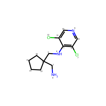 NCC1(CNc2c(Cl)cncc2Cl)CCCC1